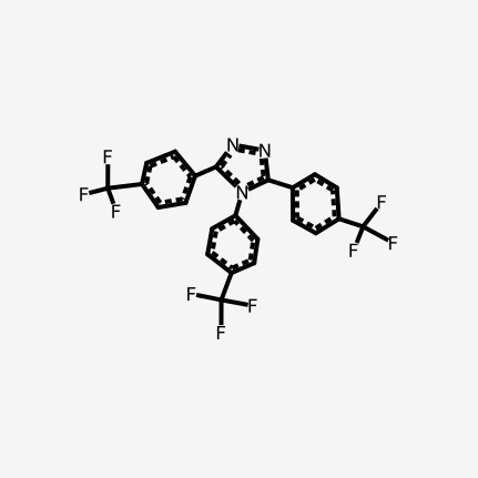 FC(F)(F)c1ccc(-c2nnc(-c3ccc(C(F)(F)F)cc3)n2-c2ccc(C(F)(F)F)cc2)cc1